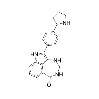 O=C1NCNc2c(-c3ccc(C4CCCN4)cc3)[nH]c3cccc1c23